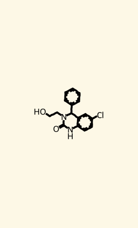 O=C1Nc2ccc(Cl)cc2C(c2ccccc2)N1CCO